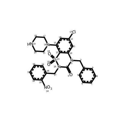 O=C1N(Cc2ccccc2)c2cc(Cl)cc(N3CCNCC3)c2S(=O)(=O)N1Cc1ccccc1[N+](=O)[O-]